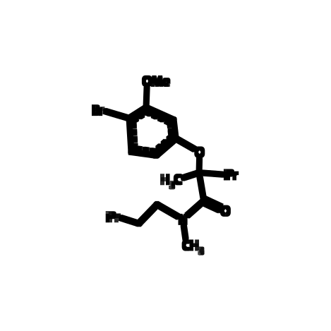 COc1cc(OC(C)(C(=O)N(C)CCC(C)C)C(C)C)ccc1Br